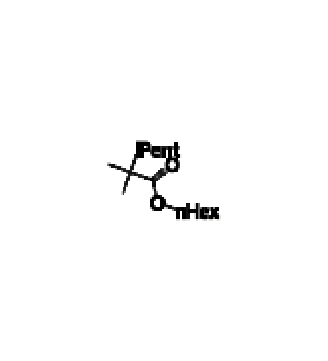 CCCCCCOC(=O)C(C)(C)C(C)CCC